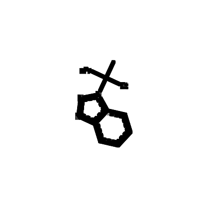 CCCC(C)(CC)n1nnc2ccccc21